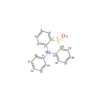 [O-][S+]1c2c[c]ccc2N(c2ccccc2)c2cc[c]cc21